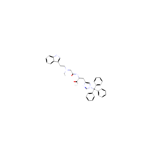 COC(=O)C(Cc1cn(C(c2ccccc2)(c2ccccc2)c2ccccc2)cn1)NC(=O)CN(CCc1c[nH]c2ccccc12)CC(=O)O